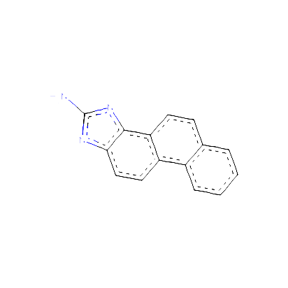 Nc1nc2c(ccc3c4ccccc4ccc32)[nH]1